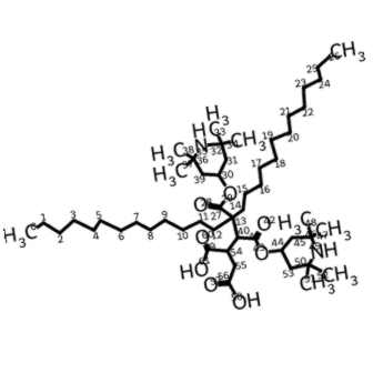 CCCCCCCCCCCCCC(CCCCCCCCCCCCC)(C(=O)OC1CC(C)(C)NC(C)(C)C1)C(C(=O)OC1CC(C)(C)NC(C)(C)C1)C(CC(=O)O)C(=O)O